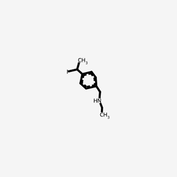 CCNCc1ccc(C(C)I)cc1